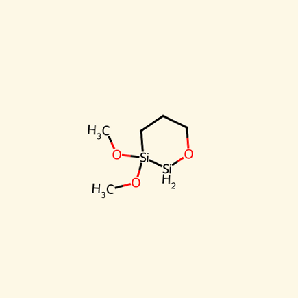 CO[Si]1(OC)CCCO[SiH2]1